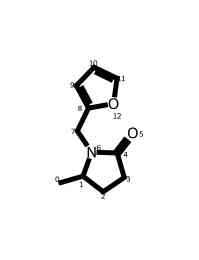 CC1CCC(=O)N1Cc1ccco1